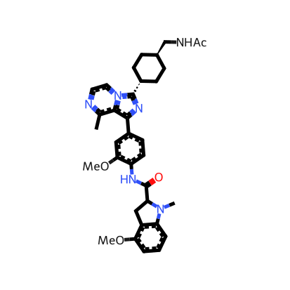 COc1cc(-c2nc([C@H]3CC[C@H](CNC(C)=O)CC3)n3ccnc(C)c23)ccc1NC(=O)C1Cc2c(OC)cccc2N1C